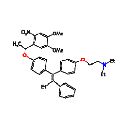 CC/C(=C(/c1ccc(OCCN(CC)CC)cc1)c1ccc(OC(C)c2cc(OC)c(OC)cc2[N+](=O)[O-])cc1)c1ccccc1